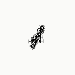 O=C(Nc1ccc(S(=O)(=O)c2ccccc2)cc1)C1=C(O)C(CC2CCCCC2)NC1=O